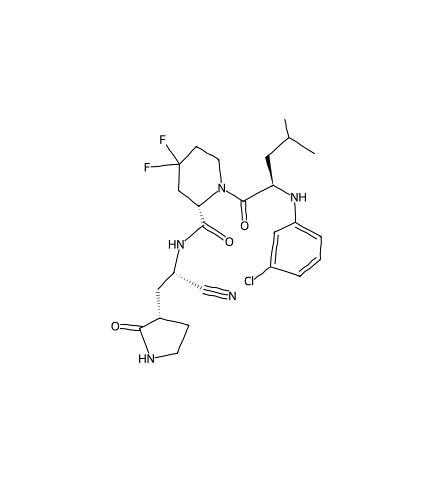 CC(C)C[C@@H](Nc1cccc(Cl)c1)C(=O)N1CCC(F)(F)C[C@H]1C(=O)N[C@H](C#N)C[C@@H]1CCNC1=O